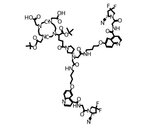 CC(C)(C)OC(=O)CN1CCN(CC(=O)O)CCN(CC(=O)O)CCN(C(CCC(=O)N2CC[C@H](N(CC(=O)NCCCCOc3ccc4nccc(C(=O)NCC(=O)N5CC(F)(F)C[C@H]5C#N)c4c3)CC(=O)NCCCCOc3ccc4nccc(C(=O)NCC(=O)N5CC(F)(F)C[C@H]5C#N)c4c3)C2)C(=O)OC(C)(C)C)CC1